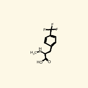 CNC(Cc1ccc(C(F)(F)F)cc1)C(=O)O